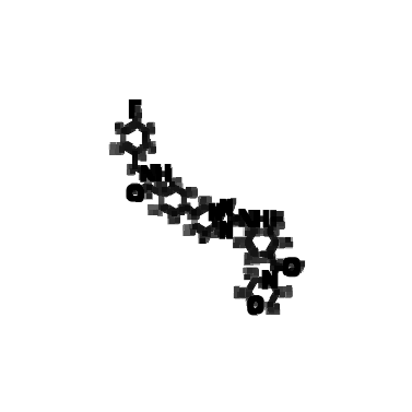 O=C(NCc1ccc(F)cc1)c1ccc(-c2ccc3nc(Nc4ccc(C(=O)N5CCOCC5)cc4F)nn3c2)cc1